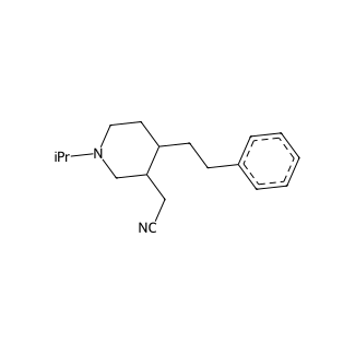 CC(C)N1CCC(CCc2ccccc2)C(CC#N)C1